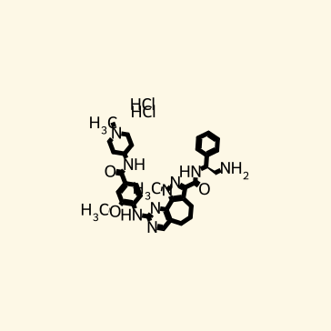 COc1cc(C(=O)NC2CCN(C)CC2)ccc1Nc1ncc2c(n1)-c1c(c(C(=O)N[C@H](CN)c3ccccc3)nn1C)CCC2.Cl.Cl